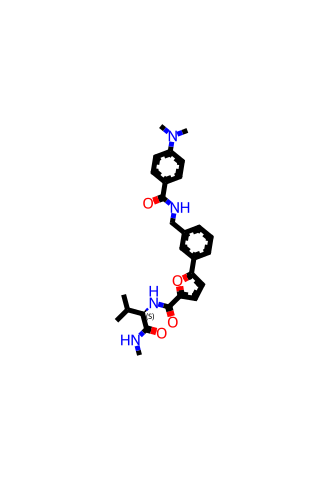 CNC(=O)[C@@H](NC(=O)c1ccc(-c2cccc(CNC(=O)c3ccc(N(C)C)cc3)c2)o1)C(C)C